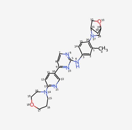 Cc1cc(Nc2nccc(-c3ccc(N4CCCOCC4)nc3)n2)ccc1N1CC2CC1CO2